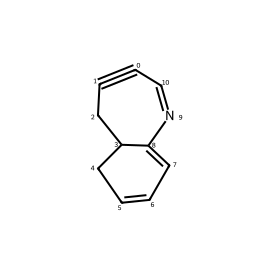 C1#CCC2CC=CC=C2N=C1